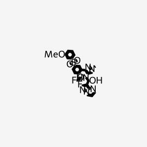 COc1cccc(S(=O)(=O)c2ccc(OC(F)F)c(-c3nn(C)cc3NC(O)c3cnn4cccnc34)c2)c1